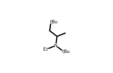 CCN(C(C)CC(C)(C)C)C(C)(C)C